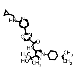 C=C(C)[C@H]1CC[C@@H](n2cc(NC(=O)c3coc(-c4ccnc(NCC5CC5)c4)n3)c(C(C)(C)O)n2)CC1